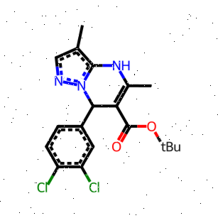 CC1=C(C(=O)OC(C)(C)C)C(c2ccc(Cl)c(Cl)c2)n2ncc(C)c2N1